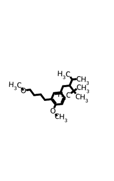 COCCCCc1cc(CC(C(C)C)C(C)(C)C)ccc1OC